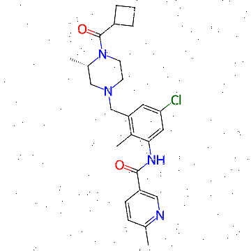 Cc1ccc(C(=O)Nc2cc(Cl)cc(CN3CCN(C(=O)C4CCC4)[C@@H](C)C3)c2C)cn1